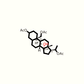 CC(=O)OC[C@]12CCC(OC(C)=O)CC1CC[C@@H]1[C@@H]2CC[C@]2(C)[C@@H](C(C)OC(C)=O)CC[C@@]12O